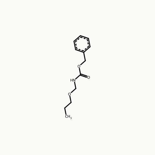 CCCOCNC(=O)OCc1ccccc1